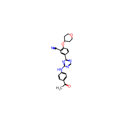 CC(=O)c1ccc(Nc2ncnc(-c3ccc(OC4CCOCC4)c(C#N)c3)n2)cc1